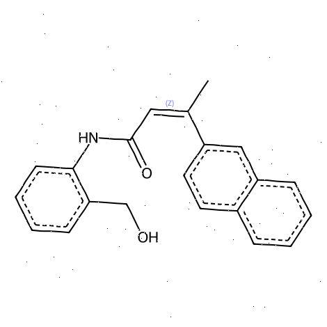 C/C(=C/C(=O)Nc1ccccc1CO)c1ccc2ccccc2c1